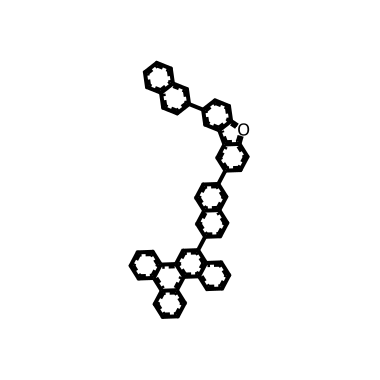 c1ccc2cc(-c3ccc4oc5ccc(-c6ccc7cc(-c8cc9c%10ccccc%10c%10ccccc%10c9c9ccccc89)ccc7c6)cc5c4c3)ccc2c1